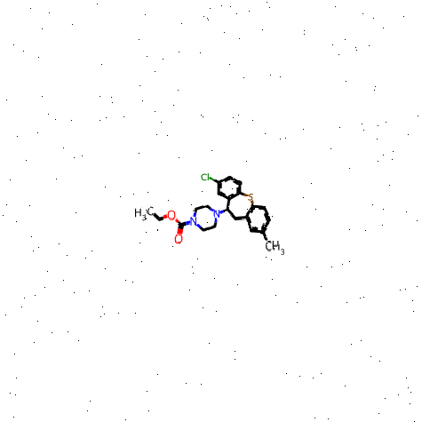 CCOC(=O)N1CCN(C2Cc3cc(C)ccc3Sc3ccc(Cl)cc32)CC1